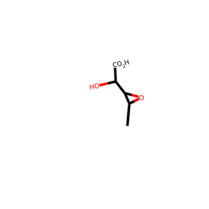 CC1OC1C(O)C(=O)O